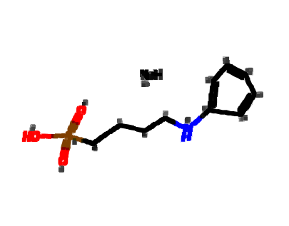 O=S(=O)(O)CCCCNc1ccccc1.[NaH]